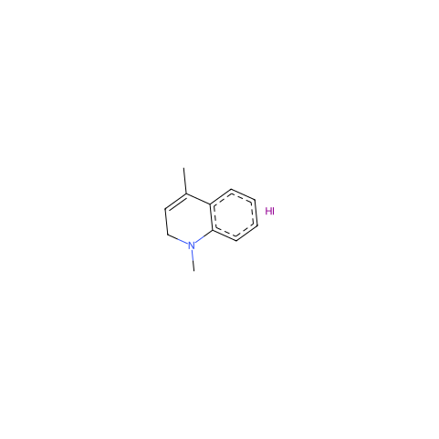 CC1=CCN(C)c2ccccc21.I